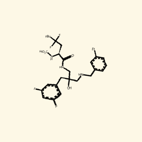 CCCCC(F)(F)C[C@H](NC(=O)O)C(=O)NCC(O)(CNCc1cccc(CC)c1)Cc1cc(F)cc(F)c1